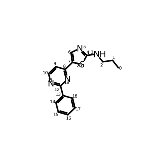 CCCNc1ncc(-c2ccnc(-c3ccccc3)n2)s1